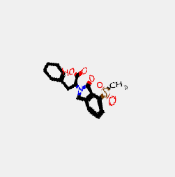 CS(=O)(=O)c1cccc2c1C(=O)N(C(CC1CCCCC1)C(=O)O)C2